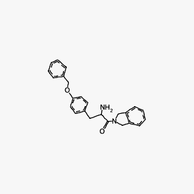 NC(Cc1ccc(OCc2ccccc2)cc1)C(=O)N1Cc2ccccc2C1